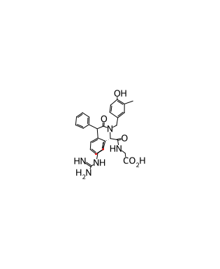 Cc1cc(CN(C(=O)C(c2ccccc2)c2ccccc2)[C@@H](CCCNC(=N)N)C(=O)NCC(=O)O)ccc1O